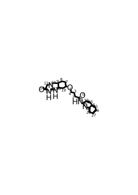 O=C(CCCOC1CCC2CN3CC(=O)NC3NC2C1)Nc1ccc2ccccc2n1